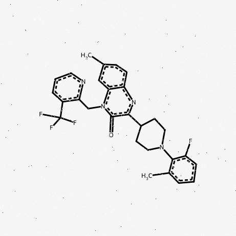 Cc1ccc2nc(C3CCN(c4c(C)cccc4F)CC3)c(=O)n(Cc3ncccc3C(F)(F)F)c2c1